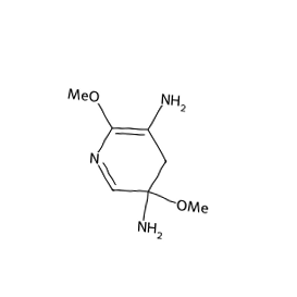 COC1=C(N)CC(N)(OC)C=N1